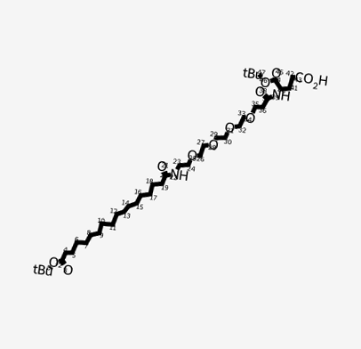 CC(C)(C)OC(=O)CCCCCCCCCCCCCCCCC(=O)NCCOCCOCCOCCOCCC(=O)NC(CCC(=O)O)C(=O)OC(C)(C)C